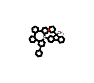 CC1(c2ccccc2)c2ccccc2-c2ccc(-n3c4ccccc4c4ccccc4c4ccccc4c4cc(-c5ccccc5)ccc43)cc21